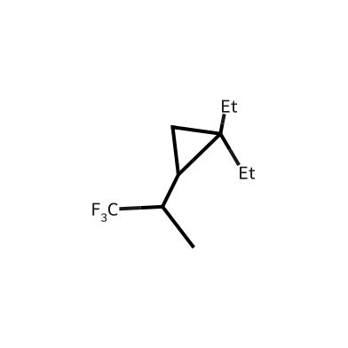 CCC1(CC)CC1C(C)C(F)(F)F